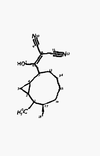 CC1C2CC2C(C(O)=C(C#N)C#N)CCCC[C@H]1I